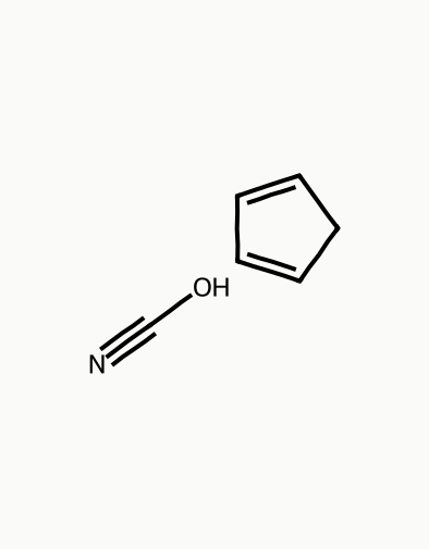 C1=CCC=C1.N#CO